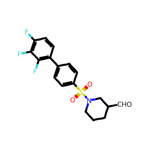 O=CC1CCCN(S(=O)(=O)c2ccc(-c3ccc(F)c(F)c3F)cc2)C1